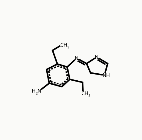 CCc1cc(N)cc(CC)c1/N=C1\CNC=N1